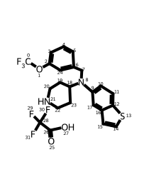 FC(F)(F)Oc1cccc(CN(c2ccc3sccc3c2)C2CCNCC2)c1.O=C(O)C(F)(F)F